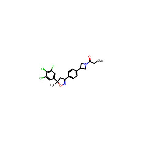 CSCC(=O)N1CC(c2ccc(C3=NOC(c4cc(Cl)c(Cl)c(Cl)c4)(C(F)(F)F)C3)cc2)C1